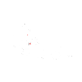 COc1ccc(-c2ccc(-c3cnn4c(N)c(C5CC5)c(C5CC6CC[C@H](C5)N6C(=O)c5nnc[nH]5)nc34)cn2)cc1F